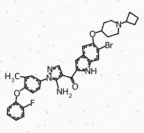 Cc1cc(-n2ncc(C(=O)c3cc4cc(OC5CCN(C6CCC6)CC5)c(Br)cc4[nH]3)c2N)ccc1Oc1ccccc1F